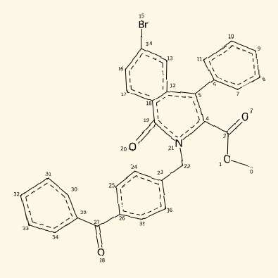 COC(=O)c1c(-c2ccccc2)c2cc(Br)ccc2c(=O)n1Cc1ccc(C(=O)c2ccccc2)cc1